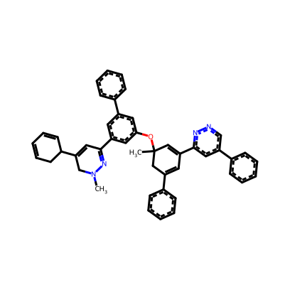 CN1CC(C2C=CC=CC2)=CC(c2cc(OC3(C)C=C(c4cc(-c5ccccc5)cnn4)C=C(c4ccccc4)C3)cc(-c3ccccc3)c2)=N1